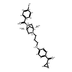 O=C(c1ccc(OCCCN2C[C@@H]3C[C@H]2CN3C(=O)c2ccc(F)cc2)cc1)C1CC1